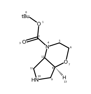 CC(C)(C)OC(=O)N1CCO[C@H]2CNCC21